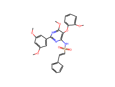 COc1cc(OC)cc(-c2nc(NS(=O)(=O)C=Cc3ccccc3)c(Oc3ccccc3OC)c(OC)n2)c1